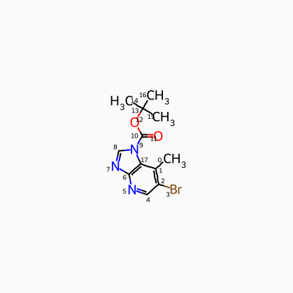 Cc1c(Br)cnc2ncn(C(=O)OC(C)(C)C)c12